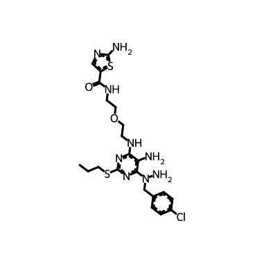 CCCSc1nc(NCCOCCNC(=O)c2cnc(N)s2)c(N)c(N(N)Cc2ccc(Cl)cc2)n1